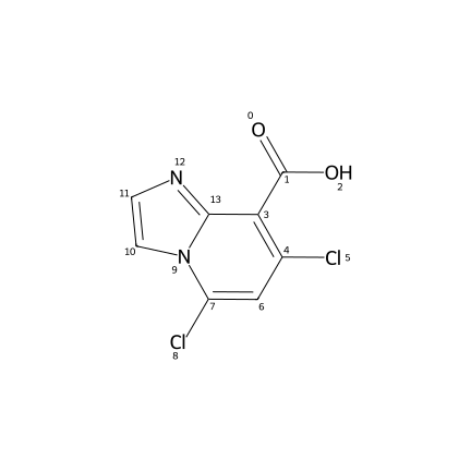 O=C(O)c1c(Cl)cc(Cl)n2ccnc12